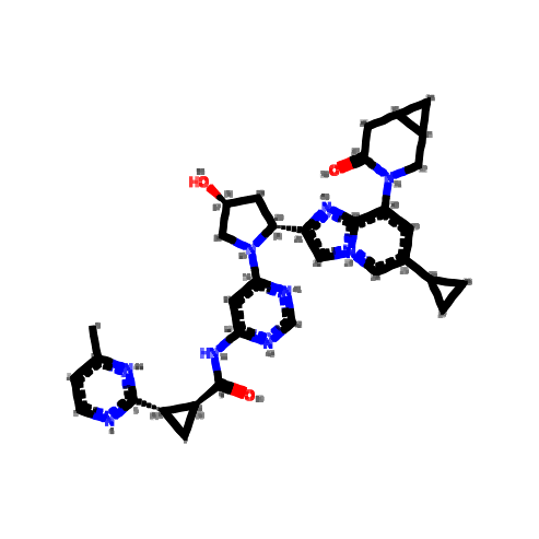 Cc1ccnc([C@H]2C[C@@H]2C(=O)Nc2cc(N3C[C@@H](O)C[C@@H]3c3cn4cc(C5CC5)cc(N5CC6CC6CC5=O)c4n3)ncn2)n1